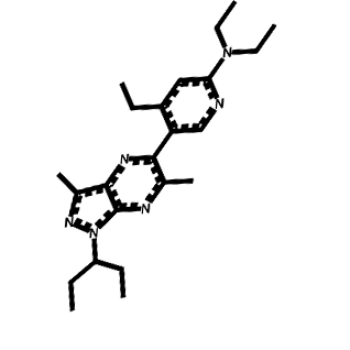 CCc1cc(N(CC)CC)ncc1-c1nc2c(C)nn(C(CC)CC)c2nc1C